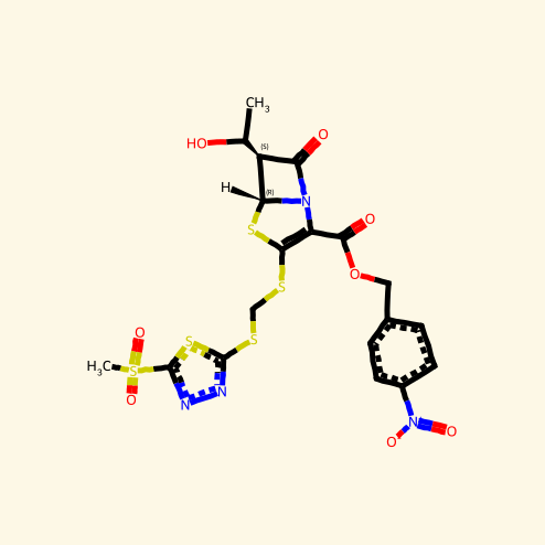 CC(O)[C@H]1C(=O)N2C(C(=O)OCc3ccc([N+](=O)[O-])cc3)=C(SCSc3nnc(S(C)(=O)=O)s3)S[C@H]12